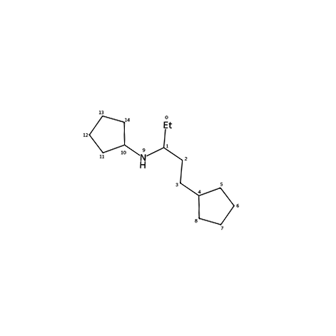 CCC(CCC1CCCC1)NC1CCCC1